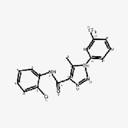 Cc1c(C(=O)Nc2ccccc2Cl)nnn1-c1cccc(C(F)(F)F)c1